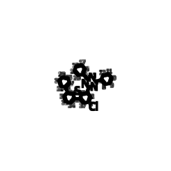 Clc1cc(-c2nc(-c3ccccc3)nc(-c3ccccc3)n2)c2sc3c(-c4ccccc4)cccc3c2c1